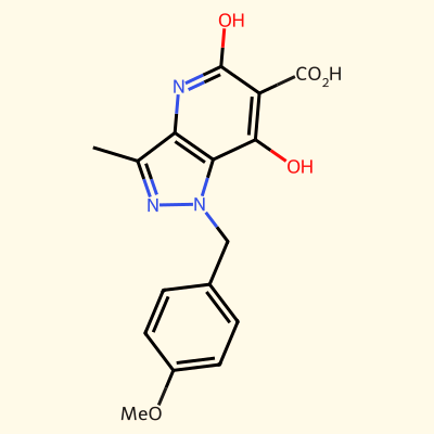 COc1ccc(Cn2nc(C)c3nc(O)c(C(=O)O)c(O)c32)cc1